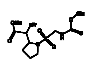 CCCC(C(=O)OC)C1CCCN1S(=O)(=O)CNC(=O)OC(C)(C)C